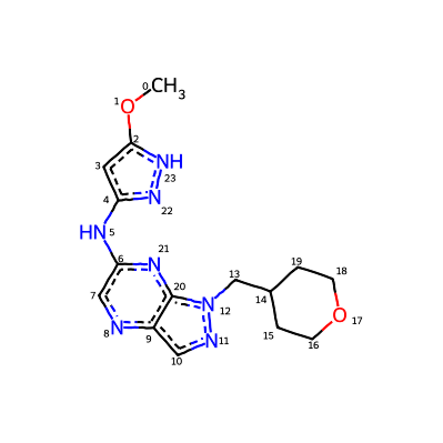 COc1cc(Nc2cnc3cnn(CC4CCOCC4)c3n2)n[nH]1